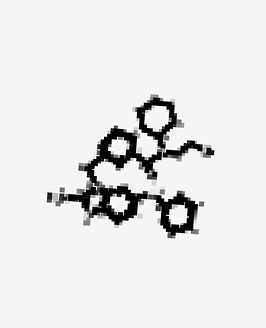 N#CCCN(C(=O)c1cccc(Cn2c(N)nc3ccc(Oc4ccccc4)cc32)c1)C1CCCCC1